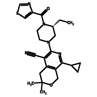 CC[C@@H]1CN(c2nc(C3CC3)c3c(c2C#N)CC(C)(C)OC3)CCN1C(=O)c1cscn1